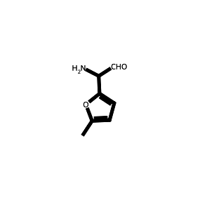 Cc1ccc(C(N)C=O)o1